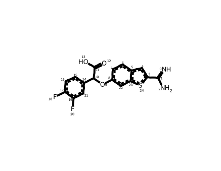 N=C(N)c1cc2ccc(OC(C(=O)O)c3ccc(F)c(F)c3)cc2s1